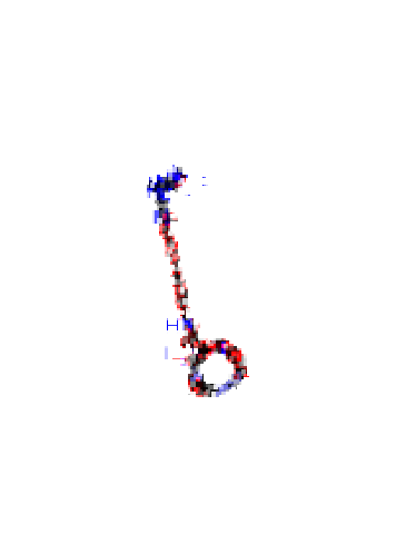 CO[C@H]1C[C@@H]2CC[C@@H](C)[C@@](O)(O2)C(=O)C(=O)N2CCCC[C@H]2C(=O)O[C@H]([C@H](N)C[C@@H]2CC[C@@H](OC(=O)NCCOCCOCCOCCOCCOCCOCCOCCOCCC(=O)NCCCCn3nc(-c4ccc5oc(N)nc5c4)c4c(N)ncnc43)[C@H](OC)C2)C[C@@H](O)[C@H](C)/C=C(\C)[C@@H](O)[C@@H](OC)C(=O)[C@H](C)C[C@H](C)/C=C/C=C/C=C/1C